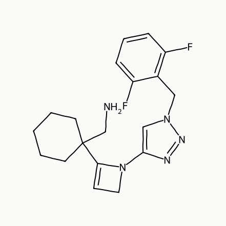 NCC1(C2=CCN2c2cn(Cc3c(F)cccc3F)nn2)CCCCC1